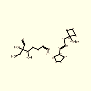 C=CC(O)(CO)C(O)CC/C=C\C[C@H]1CCC[C@@H]1/C=C/CC1(CCCCCC)CCC1